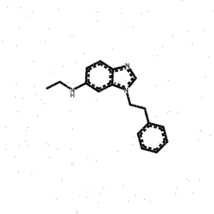 CCNc1ccc2ncn(CCc3ccccc3)c2c1